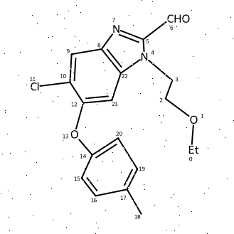 CCOCCn1c(C=O)nc2cc(Cl)c(Oc3ccc(C)cc3)cc21